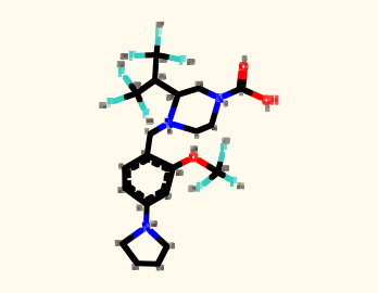 O=C(O)N1CCN(Cc2ccc(N3CCCC3)cc2OC(F)(F)F)C(C(C(F)(F)F)C(F)(F)F)C1